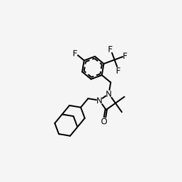 CC1(C)C(=O)N(CC2CC3CCCC(C3)C2)N1Cc1ccc(F)cc1C(F)(F)F